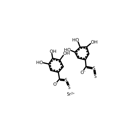 [O-]C(=S=S)c1cc(O)c(O)c(O)c1.[O-]C(=S=S)c1cc(O)c(O)c(O)c1.[Sr+2]